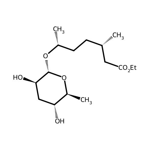 CCOC(=O)C[C@@H](C)CC[C@@H](C)O[C@@H]1O[C@@H](C)[C@H](O)C[C@H]1O